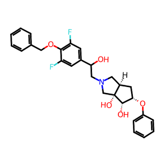 OC(CN1C[C@H]2C[C@H](Oc3ccccc3)[C@H](O)[C@@]2(O)C1)c1cc(F)c(OCc2ccccc2)c(F)c1